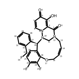 O=C1c2c(O)c(=O)ccn2N2CN1C/C=C\COc1c(ccc(F)c1F)[C@H]2c1ccccc1CF